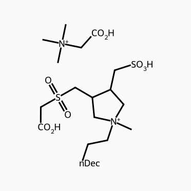 CCCCCCCCCCCC[N+]1(C)CC(CS(=O)(=O)O)C(CS(=O)(=O)CC(=O)O)C1.C[N+](C)(C)CC(=O)O